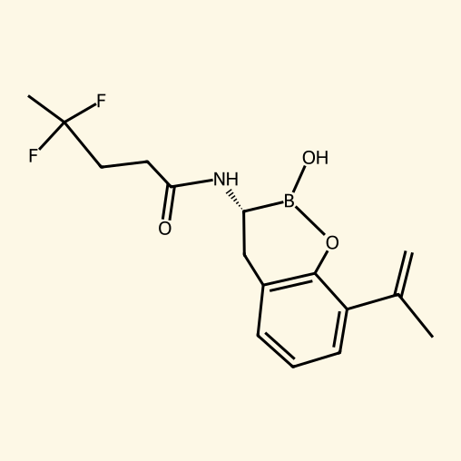 C=C(C)c1cccc2c1OB(O)[C@@H](NC(=O)CCC(C)(F)F)C2